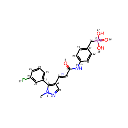 Cn1ncc(/C=C/C(=O)Nc2ccc(CP(=O)(O)O)cc2)c1-c1cccc(F)c1